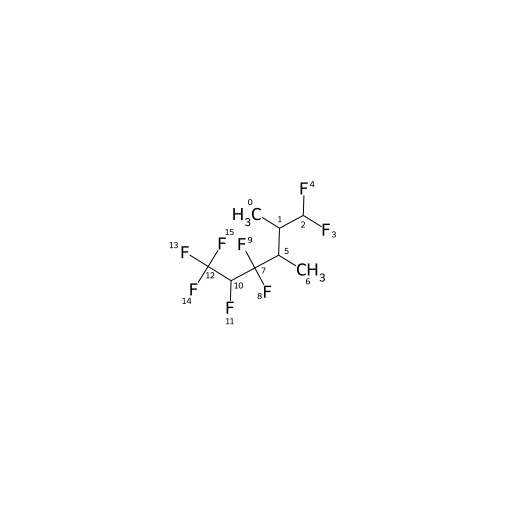 CC(C(F)F)C(C)C(F)(F)C(F)C(F)(F)F